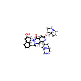 C#Cc1cccc2cc(O)cc(-n3ncc4c(C5CC6CNCC(C5)N6)nc(OCC56CCCN5CCC6)cc4c3=O)c12